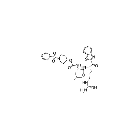 CC(C)C[C@H](NC(=O)OC1CCN(S(=O)(=O)c2ccccc2)CC1)C(=O)N[C@@H](CCCNC(=N)N)C(=O)c1nc2ccccc2s1